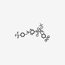 CN(Cc1ccc(C(F)(F)F)cc1)c1ncc(NC(=O)[C@H]2c3ccc(S(C)(=O)=O)cc3CN2C(=O)OC(C)(C)C)cn1